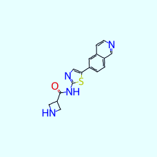 O=C(Nc1ncc(-c2ccc3cnccc3c2)s1)C1CNC1